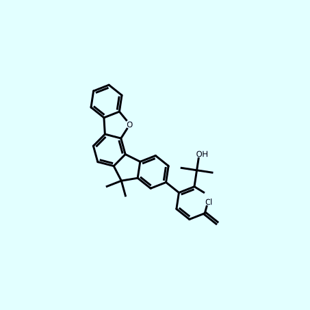 C=C(Cl)/C=C\C(=C(/C)C(C)(C)O)c1ccc2c(c1)C(C)(C)c1ccc3c(oc4ccccc43)c1-2